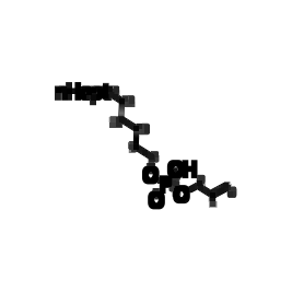 C=CCOP(=O)(O)OCCCCCCCCCCCC